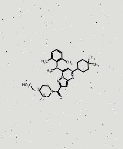 Cc1cccc(C)c1N(C)c1cc(C2CCC(C)(C)CC2)nc2cc(C(=O)N3CC[C@@H](CC(=O)O)[C@@H](F)C3)nn12